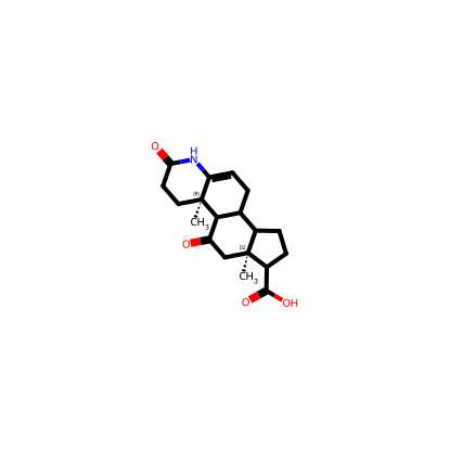 C[C@]12CC(=O)C3C(CC=C4NC(=O)CC[C@@]43C)C1CCC2C(=O)O